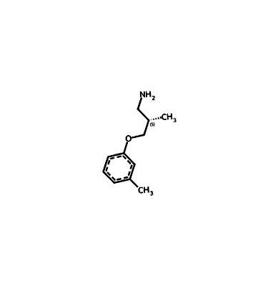 Cc1cccc(OC[C@@H](C)CN)c1